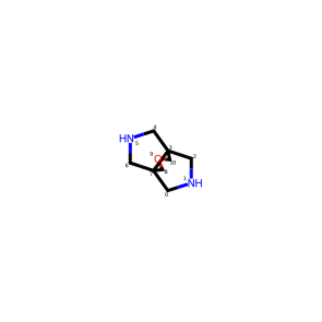 C1NCC23CNCC12COC3